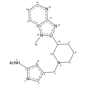 CC(=O)Nc1ncc(CN2CCCC(c3nc4ncccc4n3C)C2)s1